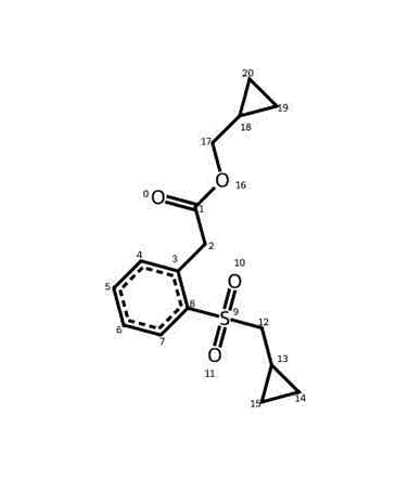 O=C(Cc1ccccc1S(=O)(=O)CC1CC1)OCC1CC1